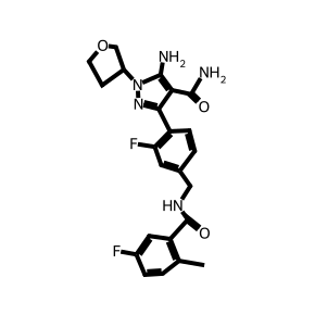 Cc1ccc(F)cc1C(=O)NCc1ccc(-c2nn(C3CCOC3)c(N)c2C(N)=O)c(F)c1